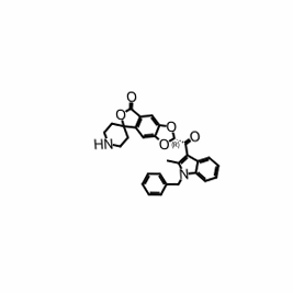 Cc1c(C(=O)[C@H]2Oc3cc4c(cc3O2)C2(CCNCC2)OC4=O)c2ccccc2n1Cc1ccccc1